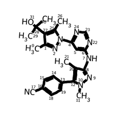 Cc1nn(-c2cc(Nc3nn(C)c(-c4ccc(C#N)cc4)c3C)ncn2)c(C)c1C(C)(C)O